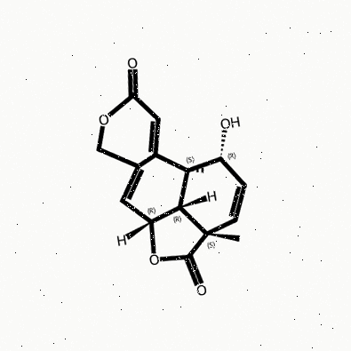 C[C@]12C3=CC(=O)OCC3=C[C@H]3OC(=O)[C@@](C)(C=C[C@H]1O)[C@H]32